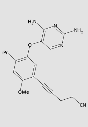 COc1cc(C(C)C)c(Oc2cnc(N)nc2N)cc1C#CCCC#N